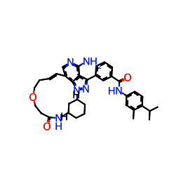 Cc1cc(NC(=O)c2cccc(-c3nn4c5c(cnc(N)c35)/C=C/CCOCCC(=O)N[C@@H]3CCC[C@@H]4C3)c2)ccc1C(C)C